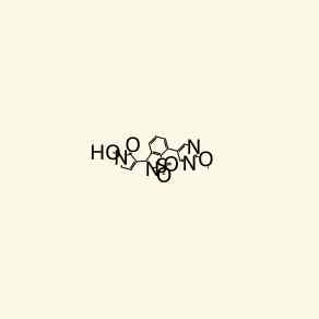 COc1ncc(-c2cccc3c2S(=O)(=O)N=C3C2=CCN(O)C2=O)cn1